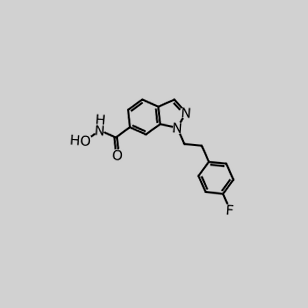 O=C(NO)c1ccc2cnn(CCc3ccc(F)cc3)c2c1